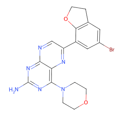 Nc1nc(N2CCOCC2)c2nc(-c3cc(Br)cc4c3OCC4)cnc2n1